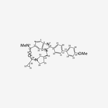 CNC(=O)c1ccc2nc(-c3ccc(-c4ccc(OC)cc4)cc3)n(C[C@H]3CCN(C(=O)C4CC4)C3)c2c1